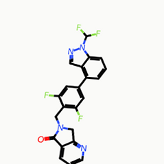 O=C1c2cccnc2CN1Cc1c(F)cc(-c2cccc3c2cnn3C(F)F)cc1F